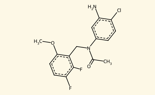 COc1ccc(F)c(F)c1CN(C(C)=O)c1ccc(Cl)c(N)c1